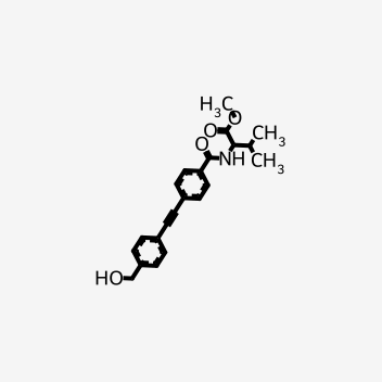 COC(=O)C(NC(=O)c1ccc(C#Cc2ccc(CO)cc2)cc1)C(C)C